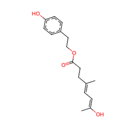 C/C(O)=C\C=C(/C)CCC(=O)OCCc1ccc(O)cc1